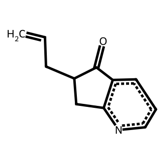 C=CCC1Cc2ncccc2C1=O